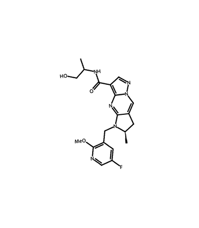 COc1ncc(F)cc1CN1c2nc3c(C(=O)NC(C)CO)cnn3cc2C[C@H]1C